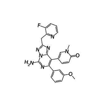 COc1cccc(-c2nc(N)n3nc(Cc4ncccc4F)nc3c2-c2ccc(=O)n(C)c2)c1